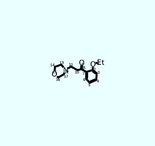 CCOc1ccccc1C(=O)CCN1CCOCC1